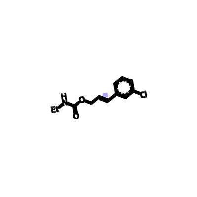 CCNC(=O)OC/C=C/c1cccc(Cl)c1